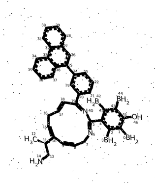 Bc1c(B)c(C2=N/C/C=C\C([C@H](C)CN)=C/C/C=C/C(c3cccc(-c4cc5ccccc5c5ccccc45)c3)=N\2)c(B)c(B)c1O